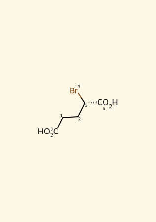 O=C(O)CC[C@H](Br)C(=O)O